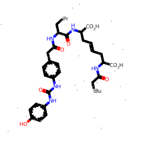 CC(C)CC(NC(=O)Cc1ccc(NC(=O)Nc2ccc(O)cc2)cc1)C(=O)NC(CC=CCC(NC(=O)CC(C)(C)C)C(=O)O)C(=O)O